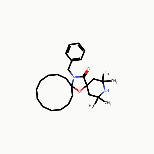 CC1(C)CC2(CC(C)(C)N1)OC1(CCCCCCCCCCC1)N(Cc1ccccc1)C2=O